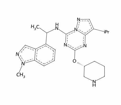 CC(C)c1cnn2c(NC(C)c3cccc4c3cnn4C)nc(O[C@@H]3CCCNC3)nc12